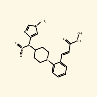 Cn1cnc(N(C2CCN(c3ccccc3/C=C/C(=O)NO)CC2)[SH](=O)=O)c1